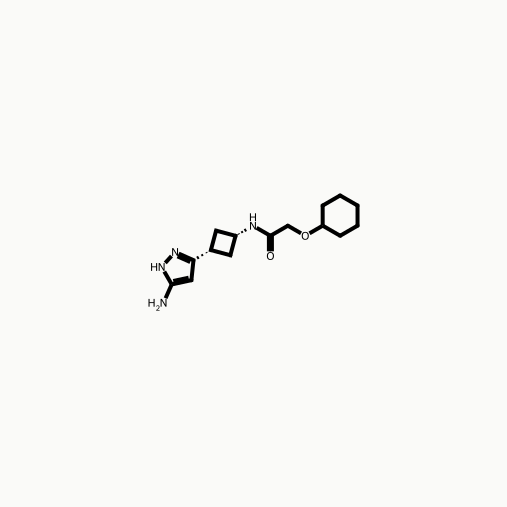 Nc1cc([C@H]2C[C@@H](NC(=O)COC3CCCCC3)C2)n[nH]1